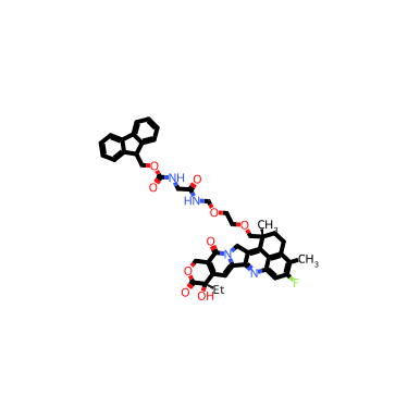 CC[C@@]1(O)C(=O)OCc2c1cc1n(c2=O)Cc2c-1nc1cc(F)c(C)c3c1c2[C@](C)(COCCOCNC(=O)CNC(=O)OCC1c2ccccc2-c2ccccc21)CC3